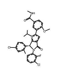 CNC(=O)c1ccc(OC)c(-c2cc3c(n2C(C)C)[C@H](c2ccc(Cl)cc2C)N(c2cccc(Cl)c2F)C3=O)c1